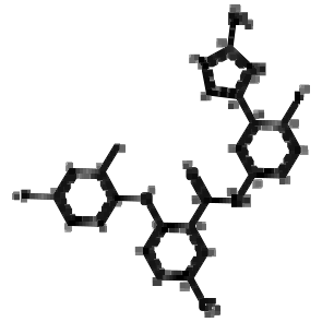 Cc1cc(F)ccc1Oc1ccc(C(F)(F)F)cc1C(=O)Nc1ccc(F)c(-c2cnc(N)[nH]2)c1